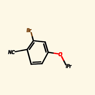 CC(C)Oc1ccc(C#N)c(Br)c1